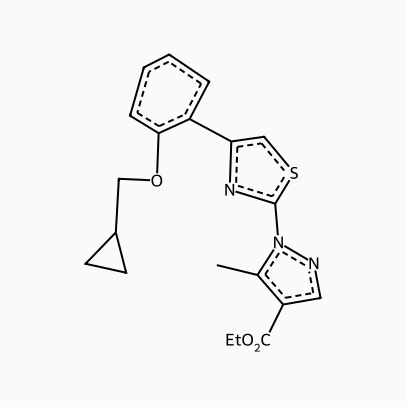 CCOC(=O)c1cnn(-c2nc(-c3ccccc3OCC3CC3)cs2)c1C